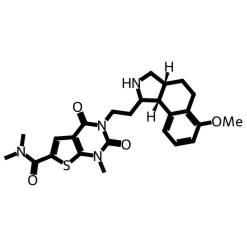 COc1cccc2c1CC[C@H]1CNC(CCn3c(=O)c4cc(C(=O)N(C)C)sc4n(C)c3=O)[C@@H]21